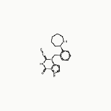 O=C1NC(=C=S)N(Cc2ccccc2[C@H]2CCCCCN2)c2cc[nH]c21